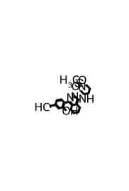 C#Cc1ccc(-c2nnc(NC3CCCN(S(C)(=O)=O)C3)c3c2CCCC3)c(O)c1